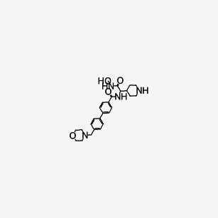 O=C(NC(C(=O)NO)C1CCNCC1)c1ccc(-c2ccc(CN3CCOCC3)cc2)cc1